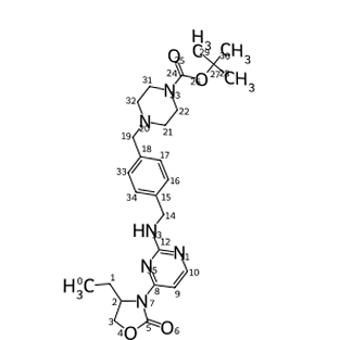 CCC1COC(=O)N1c1ccnc(NCc2ccc(CN3CCN(C(=O)OC(C)(C)C)CC3)cc2)n1